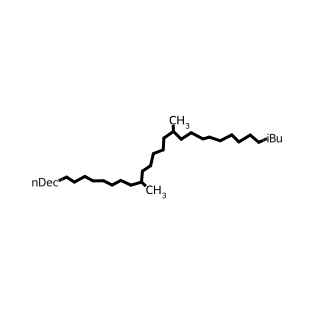 CCCCCCCCCCCCCCCCCCC(C)CCCCCC(C)CCCCCCCCCC(C)CC